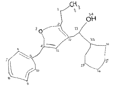 CCc1oc(-c2ccccc2)cc1C(O)C1CCCC1